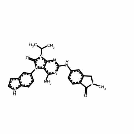 CC(C)n1c(=O)n(-c2ccc3[nH]ccc3c2)c2c(N)nc(Nc3ccc4c(c3)CN(C)C4=O)nc21